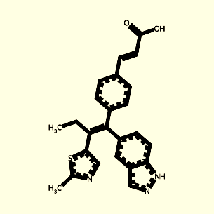 CCC(=C(c1ccc(C=CC(=O)O)cc1)c1ccc2[nH]ncc2c1)c1cnc(C)s1